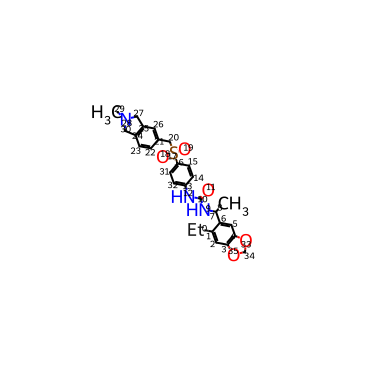 CCc1cc2c(cc1C(C)NC(=O)Nc1ccc(S(=O)(=O)Cc3ccc4c(c3)CN(C)C4)cc1)OCO2